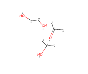 CC(C)=O.CC(C)O.OCCO